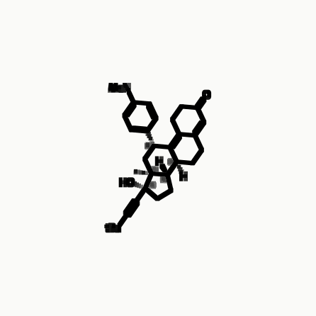 CNc1ccc([C@H]2C[C@@]3(C)[C@@H](CC[C@@]3(O)C#CC(C)(C)C)[C@@H]3CCC4=CC(=O)CCC4=C32)cc1